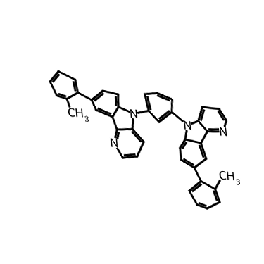 Cc1ccccc1-c1ccc2c(c1)c1ncccc1n2-c1cccc(-n2c3ccc(-c4ccccc4C)cc3c3ncccc32)c1